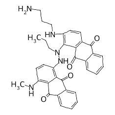 CCCN(Nc1ccc(NC)c2c1C(=O)c1ccccc1C2=O)c1c(NCCCN)ccc2c1C(=O)c1ccccc1C2=O